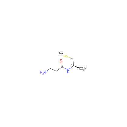 NCCC(=O)N[C@@H](CS)C(=O)O.[Na]